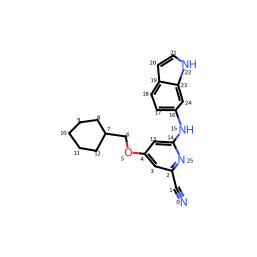 N#Cc1cc(OCC2CCCCC2)cc(Nc2ccc3cc[nH]c3c2)n1